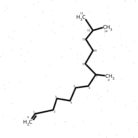 C=CCCCCCC(C)CCCC(C)C